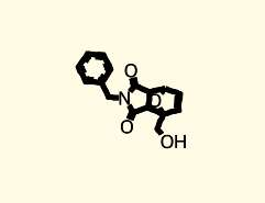 O=C1C2C3C=CC(CO)(O3)C2C(=O)N1Cc1ccccc1